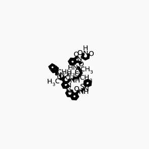 Cc1c(-c2ccc(N3CCc4cccc(C(=O)Nc5nc6ccccc6s5)c4C3)nc2C(=O)NCCC(C)(C)CC(C)(C)CNc2cccc3c2C(=O)N(C2CCC(=O)NC2=O)C3=O)cnn1CC1(C)CC2CCC(C2)C1